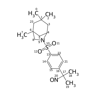 CC1(C)CC2CC(C)(CN2S(=O)(=O)c2ccc(C(C)(C)N=O)cc2)C1